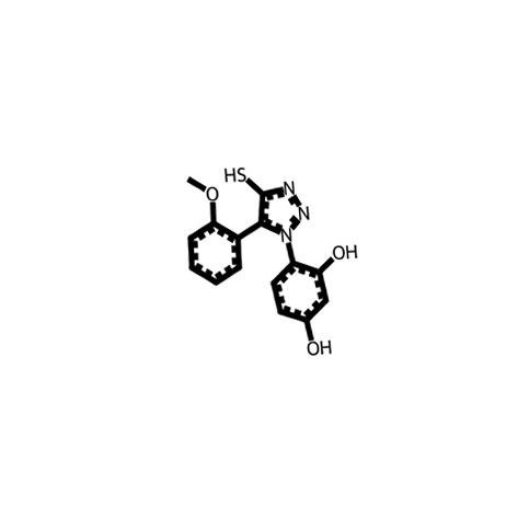 COc1ccccc1-c1c(S)nnn1-c1ccc(O)cc1O